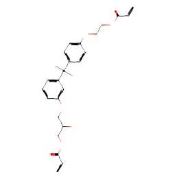 C=CC(=O)OCCOc1ccc(C(C)(C)c2cccc(OCC(O)COC(=O)C=C)c2)cc1